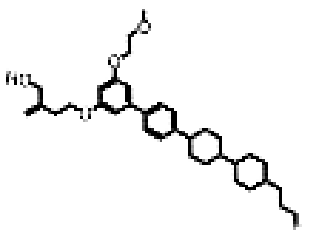 C=C(CO)CCOc1cc(OCCOC)cc(-c2ccc(C3CCC(C4CCC(CCCF)CC4)CC3)cc2)c1